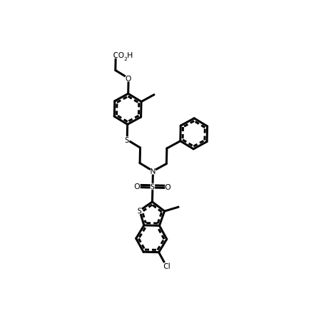 Cc1cc(SCCN(CCc2ccccc2)S(=O)(=O)c2sc3ccc(Cl)cc3c2C)ccc1OCC(=O)O